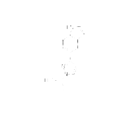 CC(C)n1ccc(-c2ccc3[nH]ccc3c2)n1